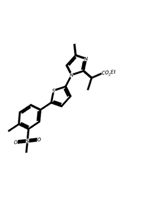 CCOC(=O)C(C)c1nc(C)cn1-c1ccc(-c2ccc(C)c(S(C)(=O)=O)c2)s1